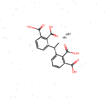 CC(c1cccc(C(=O)O)c1C(=O)O)c1cccc(C(=O)O)c1C(=O)O.[HH].[HH]